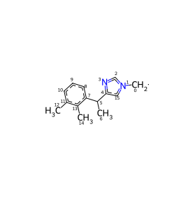 [CH2]n1cnc(C(C)c2cccc(C)c2C)c1